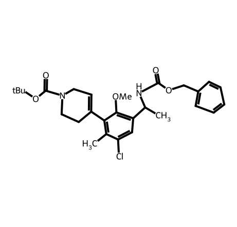 COc1c(C(C)NC(=O)OCc2ccccc2)cc(Cl)c(C)c1C1=CCN(C(=O)OC(C)(C)C)CC1